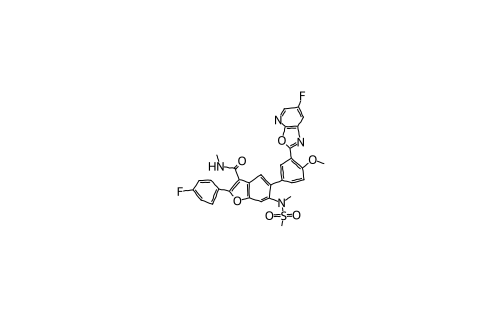 CNC(=O)c1c(-c2ccc(F)cc2)oc2cc(N(C)S(C)(=O)=O)c(-c3ccc(OC)c(-c4nc5cc(F)cnc5o4)c3)cc12